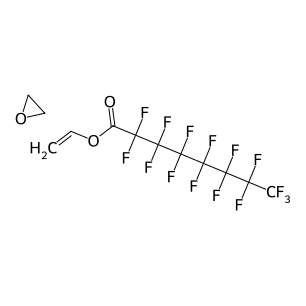 C1CO1.C=COC(=O)C(F)(F)C(F)(F)C(F)(F)C(F)(F)C(F)(F)C(F)(F)C(F)(F)F